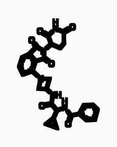 O=C1CCC(N2C(=O)c3cccc(N4CC(NC(=O)C(NC(=O)c5ccccc5)C5CC5)C4)c3C2=O)C(=O)N1